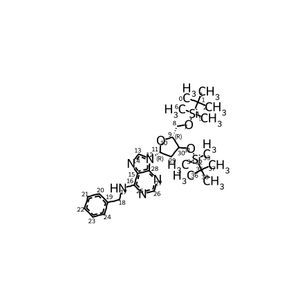 CC(C)(C)[Si](C)(C)OC[C@H]1O[C@@H](n2cnc3c(NCc4ccccc4)ncnc32)CC1O[Si](C)(C)C(C)(C)C